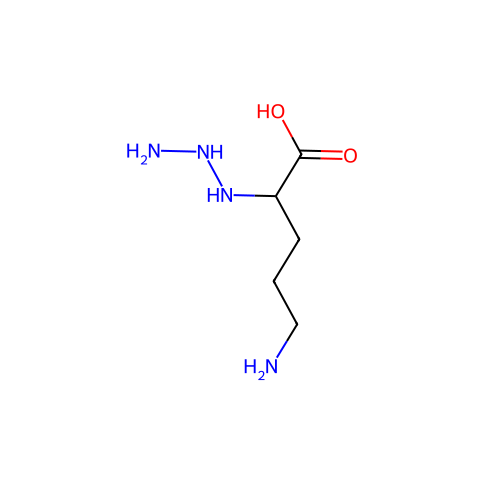 NCCCC(NNN)C(=O)O